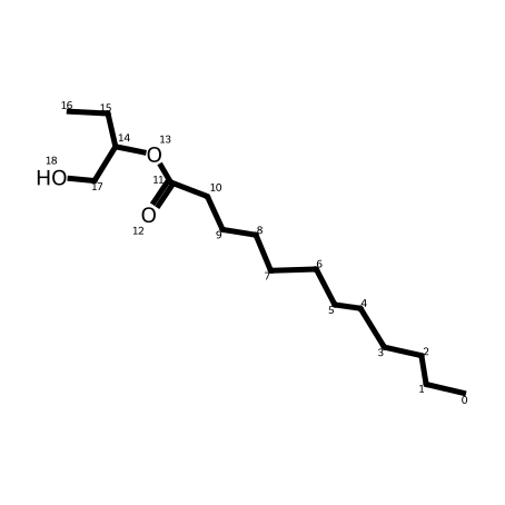 CCCCCCCCCCCC(=O)OC(CC)CO